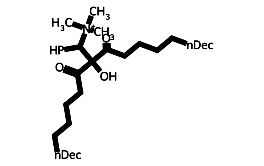 CCCCCCCCCCCCCCC(=O)C(O)(C(=O)CCCCCCCCCCCCCC)C([PH-])[N+](C)(C)C